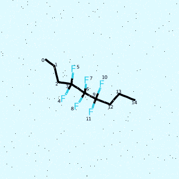 CCCC(F)(F)C(F)(F)C(F)(F)CCC